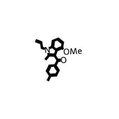 C=CCn1c(C)c(C(=O)c2ccc(C)cc2)c2c(OC)cccc21